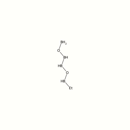 BOBBOBCC